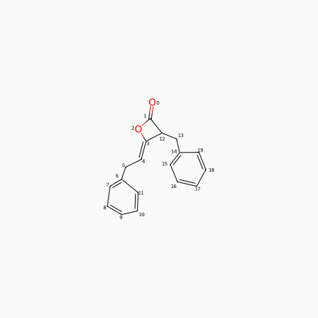 O=C1O/C(=C\Cc2ccccc2)C1Cc1ccccc1